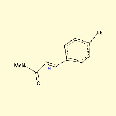 CCc1ccc(/C=C/C(=O)NC)cc1